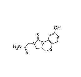 NC(=S)CN1CC2CSc3ccc(O)cc3N2C1=S